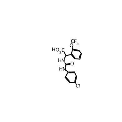 O=C(Nc1ccc(Cl)cc1)NC(C(=O)O)c1ccccc1OC(F)(F)F